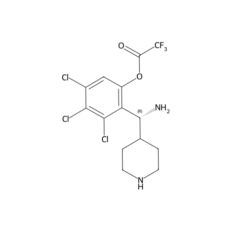 N[C@@H](c1c(OC(=O)C(F)(F)F)cc(Cl)c(Cl)c1Cl)C1CCNCC1